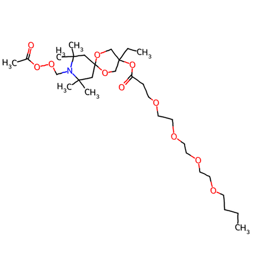 CCCCOCCOCCOCCOCCC(=O)OC1(CC)COC2(CC(C)(C)N(COOC(C)=O)C(C)(C)C2)OC1